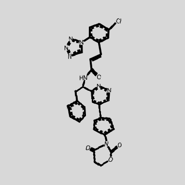 O=C(/C=C/c1cc(Cl)ccc1-n1cnnn1)NC(Cc1ccccc1)c1cc(-c2ccc(N3C(=O)CCOC3=O)cc2)cnn1